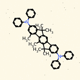 Cc1cc(N(c2ccccc2)c2ccccc2)cc2c1-c1c(cc3c(c1C)C(C)(C)c1cc(N(c4ccccc4)c4ccccc4)ccc1-3)C2(C)C